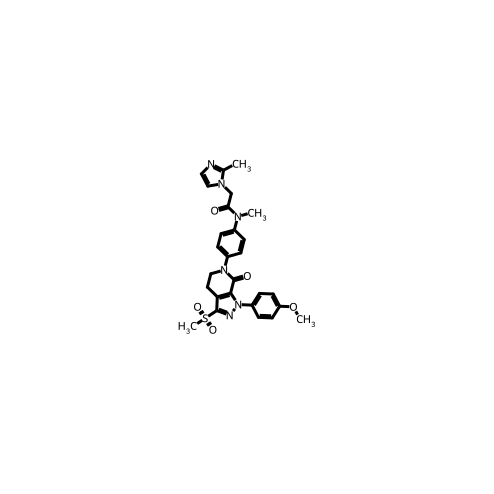 COc1ccc(-n2nc(S(C)(=O)=O)c3c2C(=O)N(c2ccc(N(C)C(=O)Cn4ccnc4C)cc2)CC3)cc1